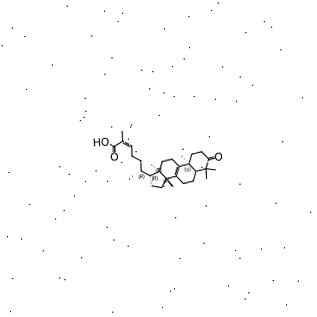 CC(=CCC[C@@H](C)[C@H]1CC[C@@]2(C)C3=C(CC[C@]12C)[C@@]1(C)CCC(=O)C(C)(C)C1CC3)C(=O)O